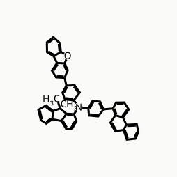 CC1(C)c2ccccc2-c2cccc(N(c3ccc(-c4ccc5c(c4)oc4ccccc45)cc3)c3ccc(-c4cccc5c4ccc4ccccc45)cc3)c21